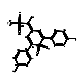 CC(=C1C=C(c2ccc(C)cc2)S(=O)(=O)C(c2ccc(C)cc2)=C1)S(=O)(=O)C(F)(F)F